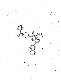 Nc1c(Br)c(C2CCN(C(=O)c3ccno3)CC2)nc2c(-c3cnc4ccccc4c3)cnn12